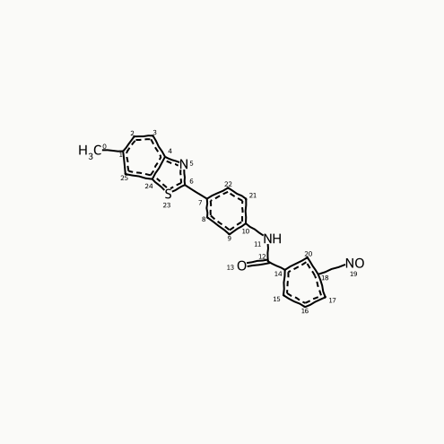 Cc1ccc2nc(-c3ccc(NC(=O)c4cccc(N=O)c4)cc3)sc2c1